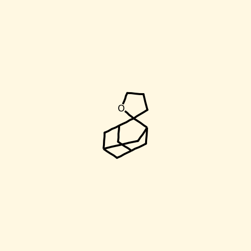 C1COC2(C1)C1CC3CC(C1)CC2C3